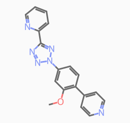 COc1cc(-n2nnc(-c3ccccn3)n2)ccc1-c1ccncc1